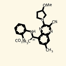 COC1CCN(c2nc3c([C@@H](C)Nc4ccccc4C(=O)O)cc(C)cc3nc2C#N)C1